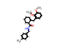 COc1cccc(CC2CCCCC2C(=O)NCc2ccc(C)cc2)c1OC